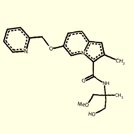 COCC(C)(CO)NC(=O)c1c(C)cc2ccc(OCc3ccccn3)cn12